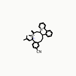 C=C1CC2C(CCc3cc(C#N)ccc3/C(C=C(C)C)=[N+]\1C)c1ccccc1-c1cccc[n+]12